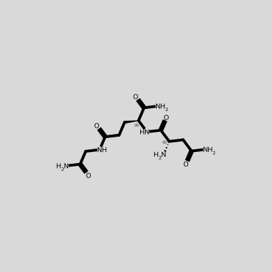 NC(=O)CNC(=O)CC[C@H](NC(=O)[C@@H](N)CC(N)=O)C(N)=O